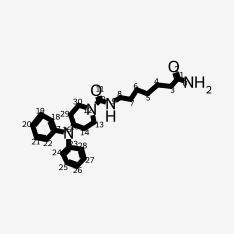 NC(=O)CCCCCCNC(=O)N1CCC(N(c2ccccc2)c2ccccc2)CC1